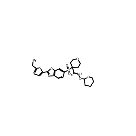 CC(C)Cc1ncc(-c2nc3ccc(S(=O)(=O)C4(C(=O)NOC5CCCCO5)CCOCC4)cc3s2)s1